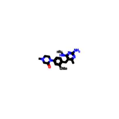 CCCCNc1nc(N)nc(C)c1Cc1ccc(N2CCN(C)CC2=O)cc1OC